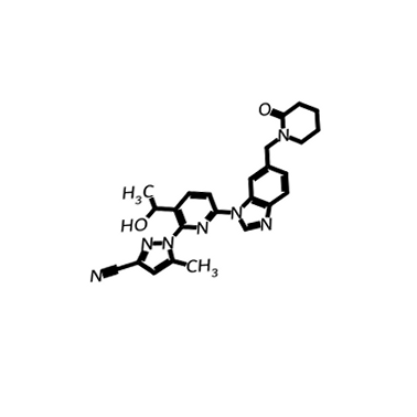 Cc1cc(C#N)nn1-c1nc(-n2cnc3ccc(CN4CCCCC4=O)cc32)ccc1C(C)O